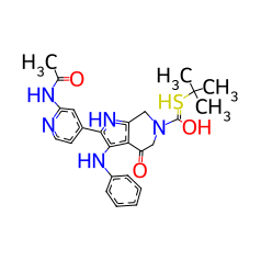 CC(=O)Nc1cc(-c2[nH]c3c(c2Nc2ccccc2)C(=O)CN(C(O)=[SH]C(C)(C)C)C3)ccn1